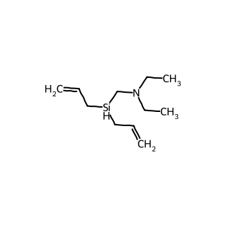 C=CC[SiH](CC=C)CN(CC)CC